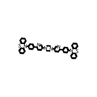 c1ccc2c(c1)Sc1ccccc1N2c1ccc(-c2ccc(N3CCN(c4ccc(-c5ccc(N6c7ccccc7Sc7ccccc76)cc5)nc4)CC3)cn2)cc1